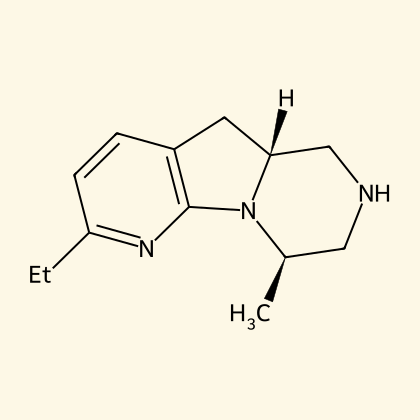 CCc1ccc2c(n1)N1[C@@H](CNC[C@H]1C)C2